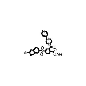 COC(=O)c1ccc(S(=O)(=O)c2ccc3cc(Br)ccc3c2)cc1C(=O)N1CCN(c2ccncc2)CC1